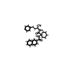 N#C[C@H](CCc1ccccc1)NC(=O)C1(NC(=O)c2ccc3ccccc3c2)CCCCC1